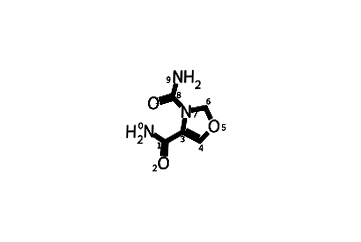 NC(=O)C1=COCN1C(N)=O